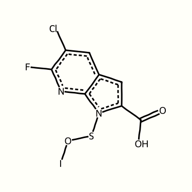 O=C(O)c1cc2cc(Cl)c(F)nc2n1SOI